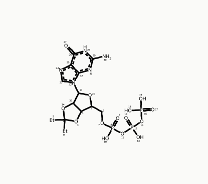 CCC1(CC)OC2C(COP(=O)(O)OP(=O)(O)OP(=O)(O)O)OC(n3cnc4c(=O)[nH]c(N)nc43)C2O1